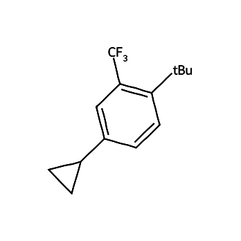 CC(C)(C)c1ccc(C2CC2)cc1C(F)(F)F